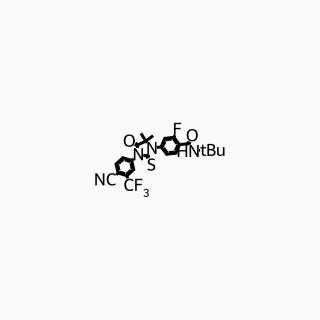 CC(C)(C)NC(=O)c1ccc(N2C(=S)N(c3ccc(C#N)c(C(F)(F)F)c3)C(=O)C2(C)C)cc1F